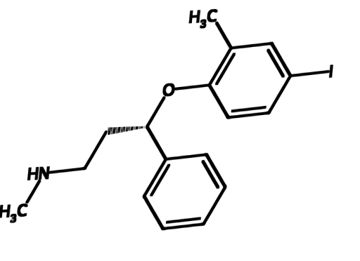 CNCC[C@H](Oc1ccc(I)cc1C)c1ccccc1